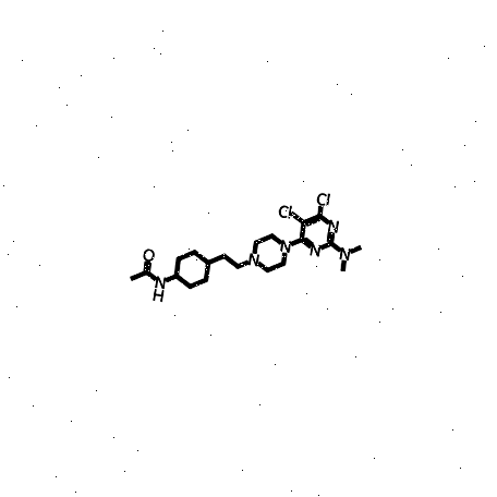 CC(=O)NC1CCC(CCN2CCN(c3nc(N(C)C)nc(Cl)c3Cl)CC2)CC1